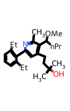 CCCC(OC)c1c(CCC(C)(C)O)cc(-c2c(CC)cccc2CC)nc1C